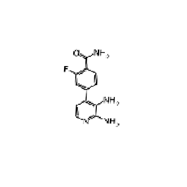 NC(=O)c1ccc(-c2ccnc(N)c2N)cc1F